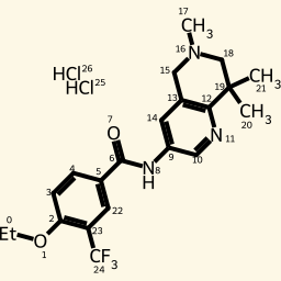 CCOc1ccc(C(=O)Nc2cnc3c(c2)CN(C)CC3(C)C)cc1C(F)(F)F.Cl.Cl